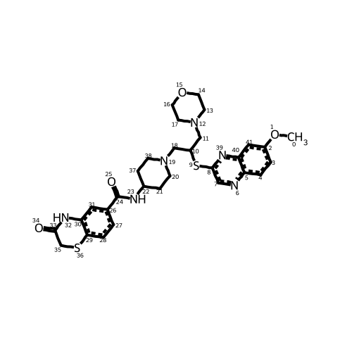 COc1ccc2ncc(SC(CN3CCOCC3)CN3CCC(NC(=O)c4ccc5c(c4)NC(=O)CS5)CC3)nc2c1